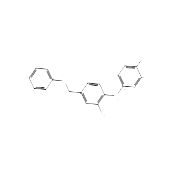 Nc1cc(COc2ccccc2)ccc1Sc1ccc(O)cc1